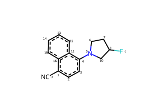 N#Cc1ccc(N2CCC(F)C2)c2ccccc12